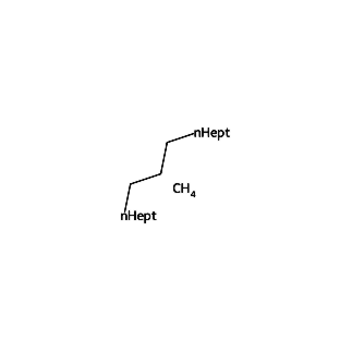 C.CCCCCCCCCCCCCCCCC